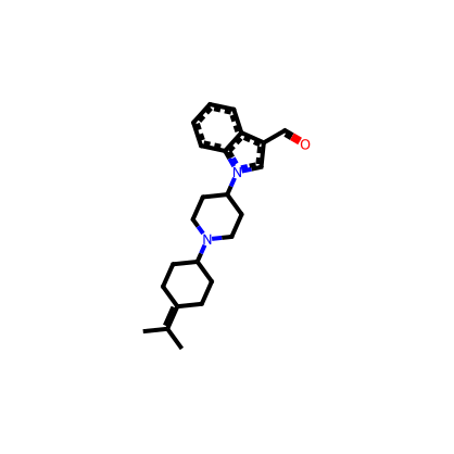 CC(C)=C1CCC(N2CCC(n3cc(C=O)c4ccccc43)CC2)CC1